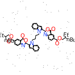 CCCCC(CC)COC(=O)c1ccc2nc(-c3cc4ccccc4n3CCCCn3c(-c4nc5ccc(C(=O)OCC(CC)CCCC)cc5c(=O)o4)cc4ccccc43)oc(=O)c2c1